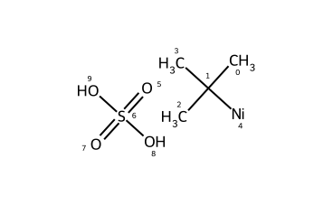 C[C](C)(C)[Ni].O=S(=O)(O)O